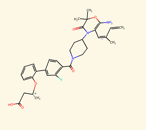 C=C/C(C)=C\C1=C(N)OC(C)(C)C(=O)N1C1CCN(C(=O)c2ccc(-c3ccccc3O[C@H](C)CC(=O)O)cc2F)CC1